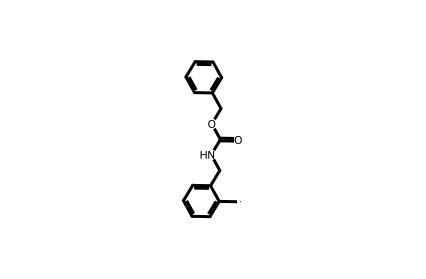 [CH2]c1ccccc1CNC(=O)OCc1ccccc1